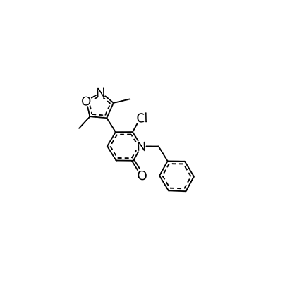 Cc1noc(C)c1-c1ccc(=O)n(Cc2ccccc2)c1Cl